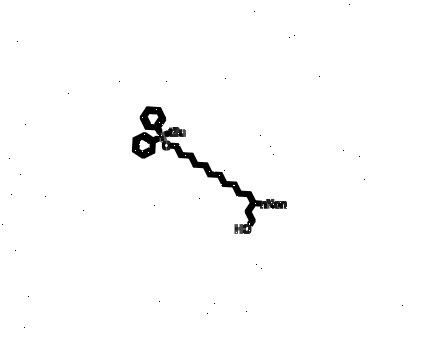 CCCCCCCCCC(CCO)CCCCCCCCCCCO[Si](c1ccccc1)(c1ccccc1)C(C)(C)C